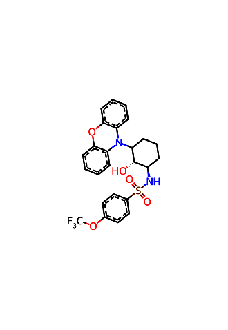 O=S(=O)(N[C@@H]1CCCC(N2c3ccccc3Oc3ccccc32)[C@H]1O)c1ccc(OC(F)(F)F)cc1